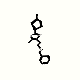 [CH2]c1ccc(-c2nc(CCOCc3ccccc3)c(C)o2)cc1